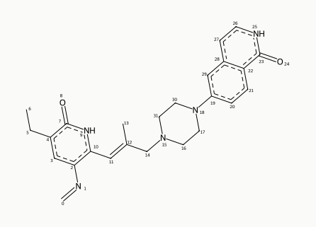 C=Nc1cc(CC)c(=O)[nH]c1/C=C(\C)CN1CCN(c2ccc3c(=O)[nH]ccc3c2)CC1